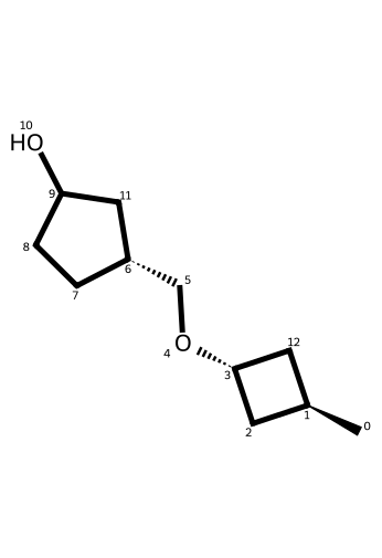 C[C@H]1C[C@H](OC[C@@H]2CCC(O)C2)C1